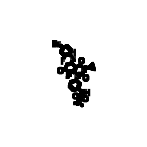 CN(C)S(=O)(=O)Nc1cccc(-n2c(=O)n(C3CC3)c(=O)c3c(Nc4ccc(Br)cc4F)cc(=O)n(C)c32)c1